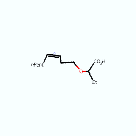 CCCCC/C=C\CCOC(CC)C(=O)O